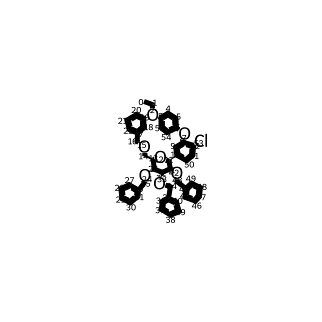 CCOc1ccc(Oc2cc([C@H]3O[C@H](COCc4ccccc4)[C@@H](OCc4ccccc4)[C@@H](OCc4ccccc4)[C@@H]3OCc3ccccc3)ccc2Cl)cc1